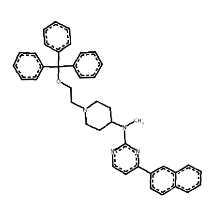 CN(c1nccc(-c2ccc3ccccc3c2)n1)C1CCN(CCOC(c2ccccc2)(c2ccccc2)c2ccccc2)CC1